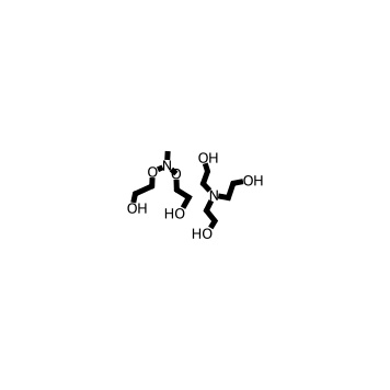 CN(OCCO)OCCO.OCCN(CCO)CCO